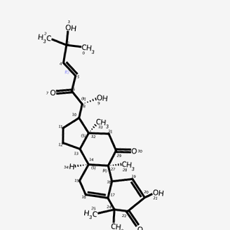 CC(C)(O)/C=C/C(=O)[C@H](O)C1CCC2[C@@H]3CC=C4C(C=C(O)C(=O)C4(C)C)[C@]3(C)C(=O)C[C@]12C